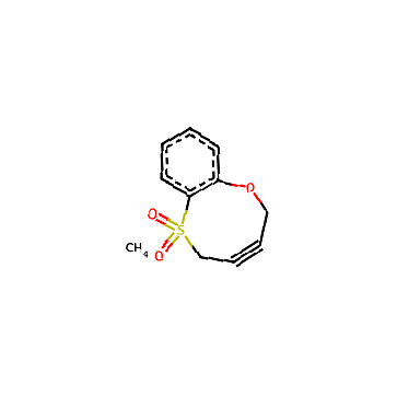 C.O=S1(=O)CC#CCOc2ccccc21